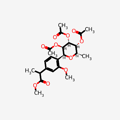 COC(=O)C(C)c1ccc([C@@H]2O[C@@H](C)[C@@H](OC(C)=O)[C@@H](OC(C)=O)[C@@H]2OC(C)=O)c(OC)c1